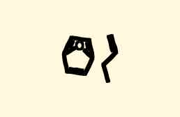 C=CCC.c1cc2ccc1o2